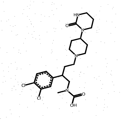 CN(CC(CCN1CCC(N2CCCNC2=O)CC1)c1ccc(Cl)c(Cl)c1)C(=O)O